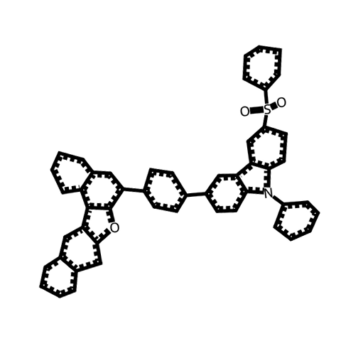 O=S(=O)(c1ccccc1)c1ccc2c(c1)c1cc(-c3ccc(-c4cc5ccccc5c5c4oc4cc6ccccc6cc45)cc3)ccc1n2-c1ccccc1